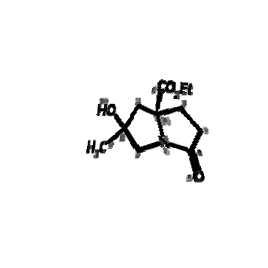 CCOC(=O)[C@@]12CCC(=O)N1CC(C)(O)C2